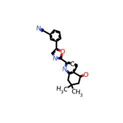 CC1(C)CC(=O)c2ccc(-c3ncc(-c4cccc(C#N)c4)o3)nc2C1